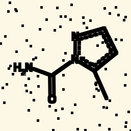 Cc1ccnn1C(N)=O